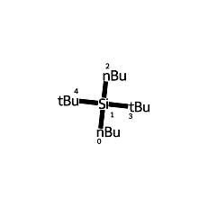 CCCC[Si](CCCC)(C(C)(C)C)C(C)(C)C